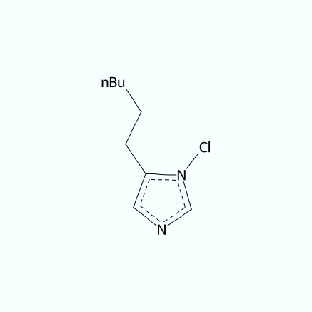 CCCCCCc1cncn1Cl